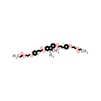 C=CC(=O)OCCCOc1ccc(C=CC(=O)Oc2ccc3c(c2)C(C)(C)c2cc(OC(=O)C=Cc4ccc(OCCCOC(=O)C=C)cc4F)ccc2-3)c(F)c1